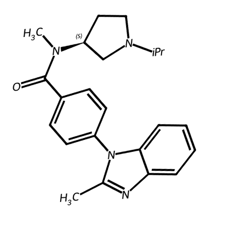 Cc1nc2ccccc2n1-c1ccc(C(=O)N(C)[C@H]2CCN(C(C)C)C2)cc1